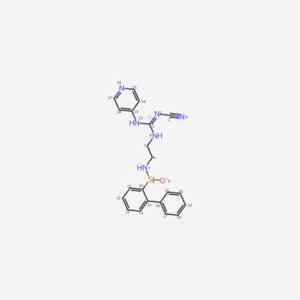 N#C/N=C(\NCCN[S+]([O-])c1ccccc1-c1ccccc1)Nc1ccncc1